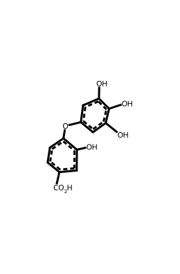 O=C(O)c1ccc(Oc2cc(O)c(O)c(O)c2)c(O)c1